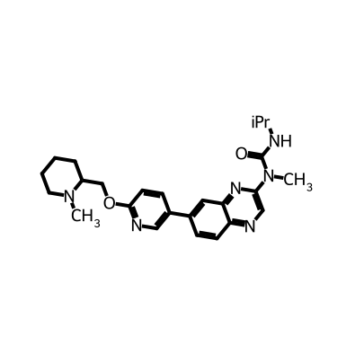 CC(C)NC(=O)N(C)c1cnc2ccc(-c3ccc(OCC4CCCCN4C)nc3)cc2n1